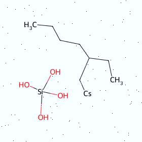 CCCCC(CC)[CH2][Cs].O[Si](O)(O)O